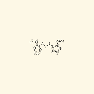 CCO[Si](CCCn1nnnc1SC)(OCC)OCC